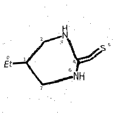 CCC1CNC(=S)NC1